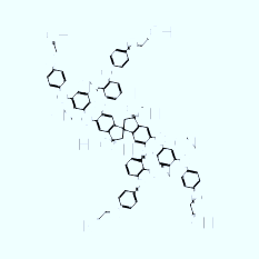 [C-]#[N+]c1c(Oc2ccc(OCC#C)cc2)cccc1Oc1cc2c(cc1Oc1cccc(Oc3ccc(OCC#C)cc3)c1[N+]#[C-])C1(CC(C)(C)c3cc(Oc4cccc(Oc5ccc(OCC#C)cc5)c4C#N)c(Oc4cccc(Oc5ccc(OCC#C)cc5)c4C#N)cc31)CC2(C)C